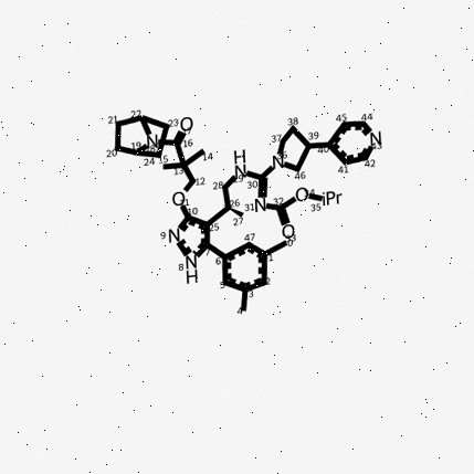 Cc1cc(C)cc(-c2[nH]nc(OCC(C)(C)C(=O)N3C4CCC3CC4)c2[C@H](C)CN/C(=N/C(=O)OC(C)C)N2CCC(c3ccncc3)C2)c1